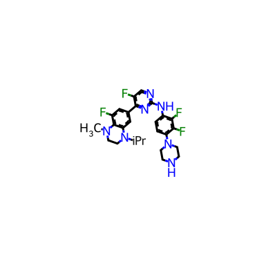 CC(C)N1CCN(C)c2c(F)cc(-c3nc(Nc4ccc(N5CCNCC5)c(F)c4F)ncc3F)cc21